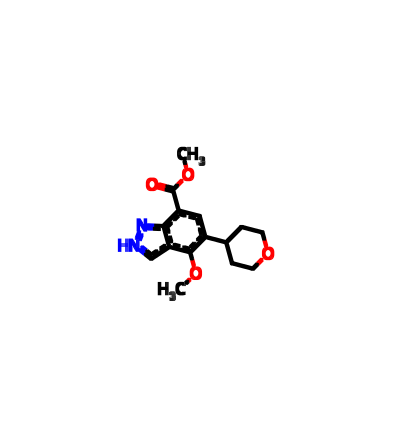 COC(=O)c1cc(C2CCOCC2)c(OC)c2c[nH]nc12